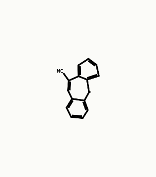 N#CC1=Cc2ccccc2[C]c2ccccc21